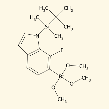 CO[B-](OC)(OC)c1ccc2ccn([Si](C)(C)C(C)(C)C)c2c1F